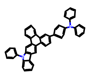 c1ccc(N(c2ccccc2)c2ccc(-c3ccc4c(c3)c3ccccc3c3cc5c(cc43)c3ccccc3n5-c3ccccc3)cc2)cc1